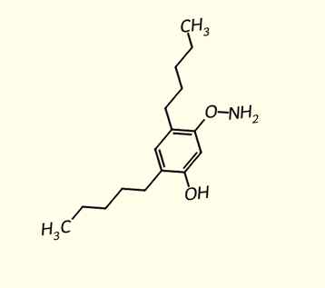 CCCCCc1cc(CCCCC)c(ON)cc1O